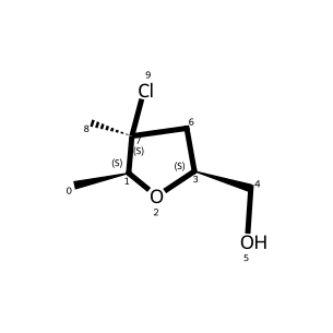 C[C@@H]1O[C@H](CO)C[C@]1(C)Cl